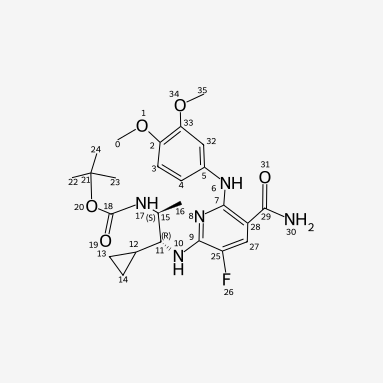 COc1ccc(Nc2nc(N[C@H](C3CC3)[C@H](C)NC(=O)OC(C)(C)C)c(F)cc2C(N)=O)cc1OC